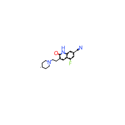 N#Cc1cc(F)c2cc(CCN3CC[CH]CC3)c(=O)[nH]c2c1